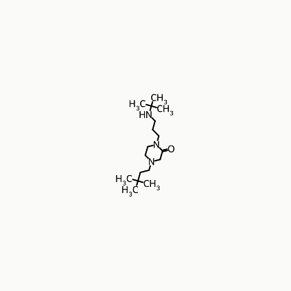 CC(C)(C)CCN1CCN(CCCNC(C)(C)C)C(=O)C1